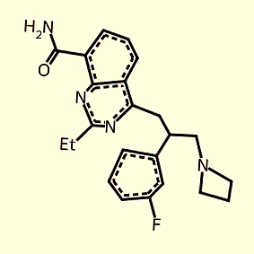 CCc1nc(CC(CN2CCC2)c2cccc(F)c2)c2cccc(C(N)=O)c2n1